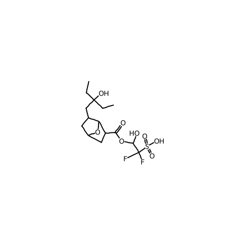 CCC(O)(CC)CC1CC2CC(C(=O)OC(O)C(F)(F)S(=O)(=O)O)C1O2